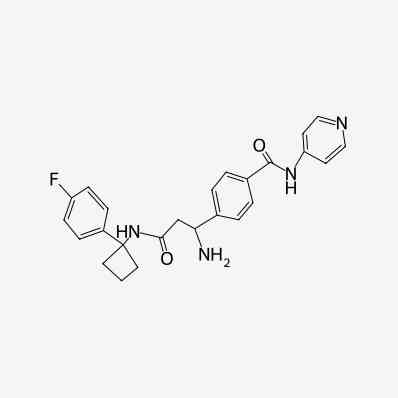 NC(CC(=O)NC1(c2ccc(F)cc2)CCC1)c1ccc(C(=O)Nc2ccncc2)cc1